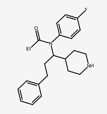 CCC(=O)N(c1ccc(F)cc1)C(CCc1ccccc1)C1CCNCC1